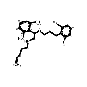 C=CCCCNCC(OCCCc1c(F)cccc1F)c1c(C)cccc1C